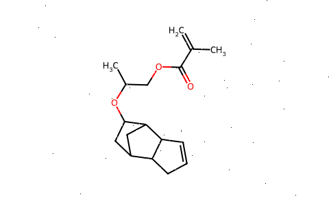 C=C(C)C(=O)OCC(C)OC1CC2CC1C1C=CCC21